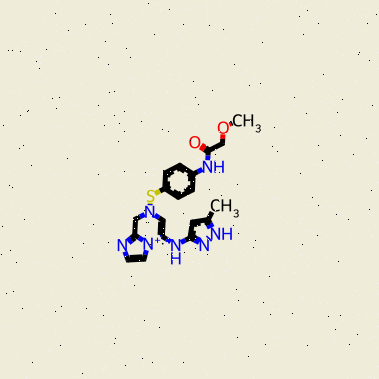 COCC(=O)Nc1ccc(SN2C=C(Nc3cc(C)[nH]n3)[N+]3C=CN=C3C2)cc1